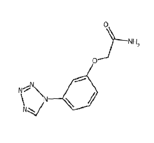 NC(=O)COc1cccc(-n2cnnn2)c1